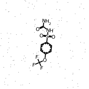 NC(=O)NS(=O)(=O)c1ccc(OC(F)(F)F)cc1